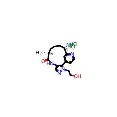 C[C@@H]1CCC[C@H](N)c2cc(ccn2)-c2c(cnn2CCO)NC1=O.Cl.Cl